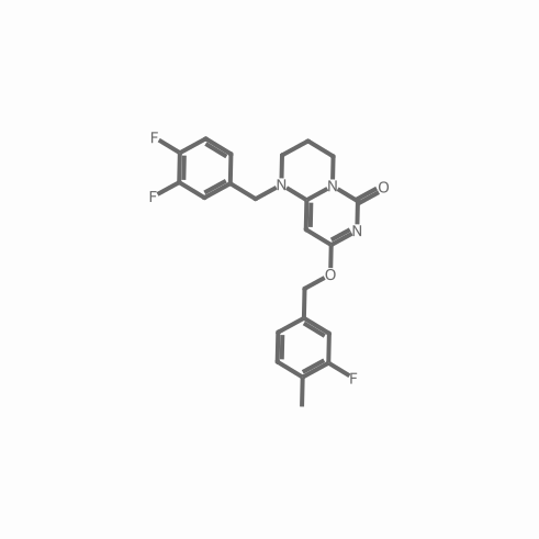 Cc1ccc(COc2cc3n(c(=O)n2)CCCN3Cc2ccc(F)c(F)c2)cc1F